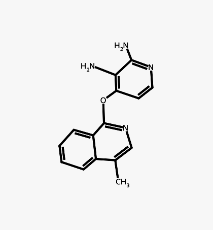 Cc1cnc(Oc2ccnc(N)c2N)c2ccccc12